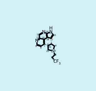 FC(F)(F)C[C]N1CC[C@@H](c2ccnc3cnc4[nH]ccc4c23)C1